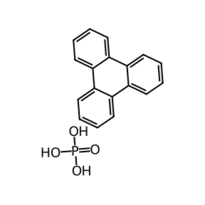 O=P(O)(O)O.c1ccc2c(c1)c1ccccc1c1ccccc21